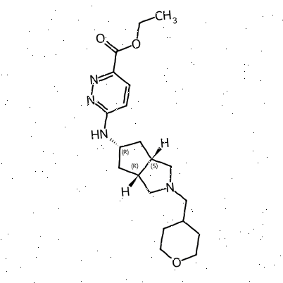 CCOC(=O)c1ccc(N[C@@H]2C[C@@H]3CN(CC4CCOCC4)C[C@@H]3C2)nn1